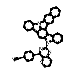 N#Cc1ccc(-c2nc(-n3c4ccccc4c4c5c6cc7ccccc7cc6n6c7ccccc7c(cc43)c56)nc3cccnc23)cc1